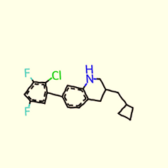 Fc1cc(F)c(Cl)c(-c2ccc3c(c2)NCC(CC2CCC2)C3)c1